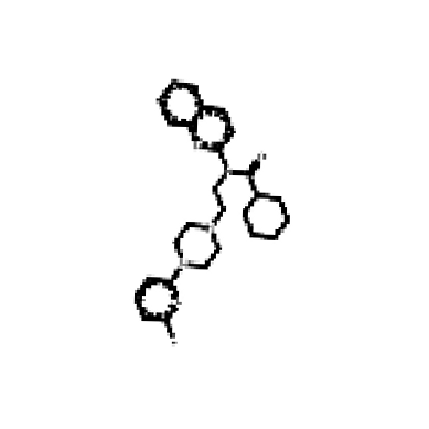 O=C(C1CCCCC1)N(CCN1CCN(c2cccc(F)n2)CC1)c1ccc2ccccc2n1